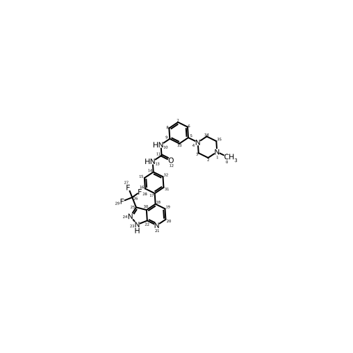 CN1CCN(c2cccc(NC(=O)Nc3ccc(-c4ccnc5[nH]nc(C(F)(F)F)c45)cc3)c2)CC1